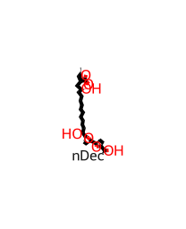 CCCCCCCCCC[C@H](O)[C@H]1CC[C@H]([C@H]2CC[C@H]([C@H](O)CCCCCCCCCC[C@@H](O)CC3=C[C@H](C)OC3=O)O2)O1